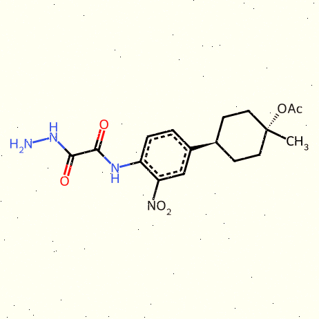 CC(=O)O[C@]1(C)CC[C@@H](c2ccc(NC(=O)C(=O)NN)c([N+](=O)[O-])c2)CC1